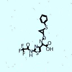 O=C(O)C(=NOC1CC1Sc1ccccc1)c1csc(NC(=O)C(F)(F)F)n1